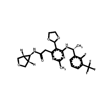 Cc1nc(CC(=O)N[C@H]2[C@@H]3COC[C@@H]32)c(C2OCCO2)c(N[C@H](C)c2cccc(C(F)(F)F)c2F)n1